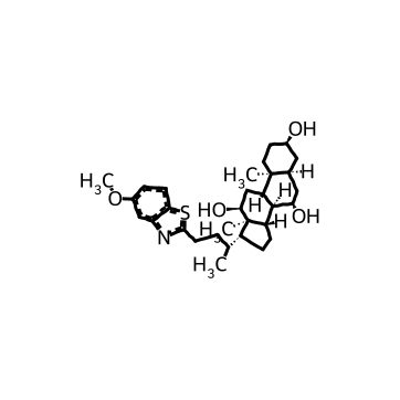 COc1ccc2sc(CCC(C)[C@H]3CC[C@H]4[C@@H]5[C@H](O)C[C@@H]6C[C@H](O)CC[C@]6(C)[C@H]5C[C@H](O)[C@]34C)nc2c1